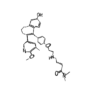 COc1ncc(C2=C(c3ccc(OCCNC/C=C/C(=O)N(C)C)cc3)c3ccc(O)cc3CCC2)cc1C